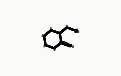 O=C1CCCCC1CCl